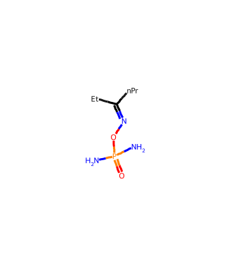 CCCC(CC)=NOP(N)(N)=O